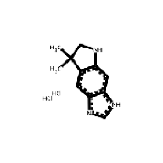 CC1(C)CNc2cc3[nH]cnc3cc21.Cl.Cl